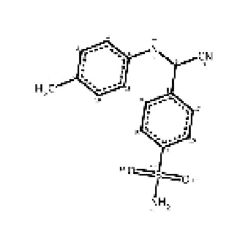 Cc1ccc(NC(C#N)c2ccc(S(N)(=O)=O)cc2)cc1